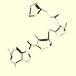 Cc1c(Nc2snc(O)c2C(=N)NCc2ccco2)cncc1C(=O)N1CCc2c(C#N)cc(C#N)cc21